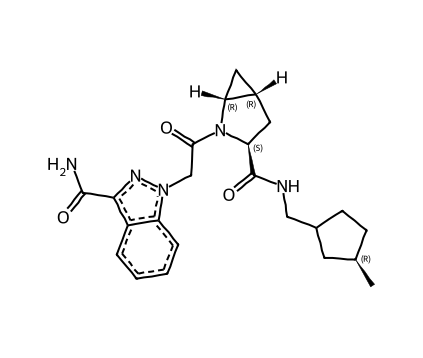 C[C@@H]1CCC(CNC(=O)[C@@H]2C[C@H]3C[C@H]3N2C(=O)Cn2nc(C(N)=O)c3ccccc32)C1